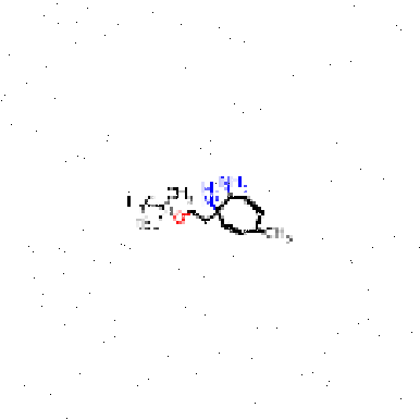 C=C1C=CC(N)C(N)(CCO[Si](C)(C)C(C)(C)C)C=C1